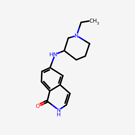 CCN1CCCC(Nc2ccc3c(=O)[nH]ccc3c2)C1